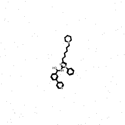 OC(Nc1nc(CCCCCCN2CCCCC2)cn1-c1ccccc1)c1cccc(-c2ccncc2)c1